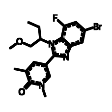 CCC(COC)n1c(-c2cc(C)c(=O)n(C)c2)nc2cc(Br)cc(F)c21